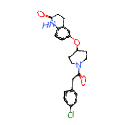 O=C1CCc2cc(OC3CCN(C(=O)Cc4ccc(Cl)cc4)CC3)ccc2N1